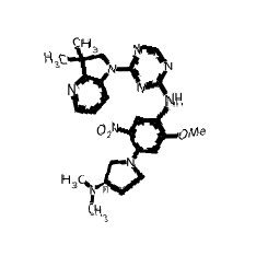 COc1cc(N2CC[C@@H](N(C)C)C2)c([N+](=O)[O-])cc1Nc1ncnc(N2CC(C)(C)c3ncccc32)n1